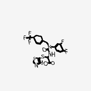 O=C(O)C(NC(=O)N(CC1CCC(C(F)(F)F)CC1)c1ccc(F)c(F)c1)Sc1cncs1